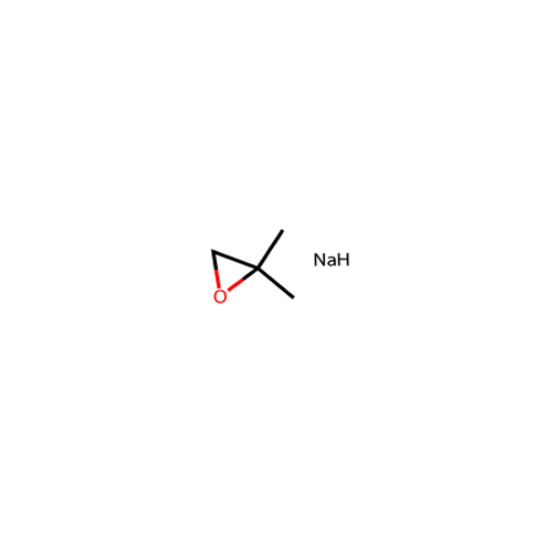 CC1(C)CO1.[NaH]